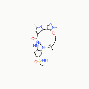 CCS(=N)(=O)c1ccc2c(c1)N1C[C@H](C)CCCOc3c(cnn3C)-c3cc(cc(C)n3)C(=O)/N=C/1N2